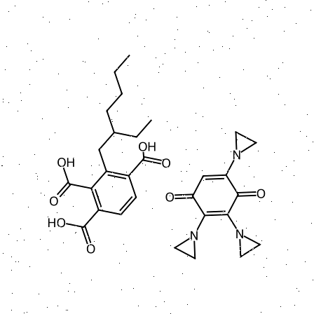 CCCCC(CC)Cc1c(C(=O)O)ccc(C(=O)O)c1C(=O)O.O=C1C=C(N2CC2)C(=O)C(N2CC2)=C1N1CC1